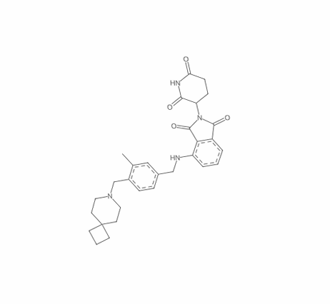 Cc1cc(CNc2cccc3c2C(=O)N(C2CCC(=O)NC2=O)C3=O)ccc1CN1CCC2(CCC2)CC1